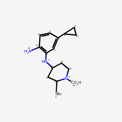 CC(C)(C)C1CC(Nc2cc(C3CC3)ccc2N)CCN1C(=O)O